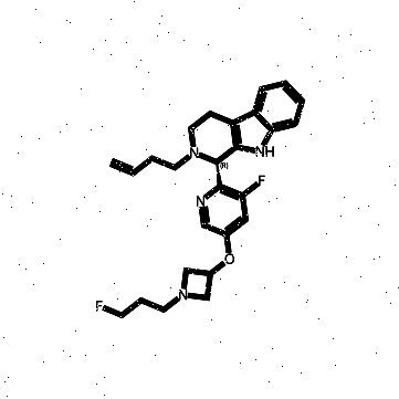 C=CCCN1CCc2c([nH]c3ccccc23)[C@H]1c1ncc(OC2CN(CCCF)C2)cc1F